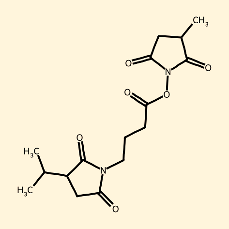 CC1CC(=O)N(OC(=O)CCCN2C(=O)CC(C(C)C)C2=O)C1=O